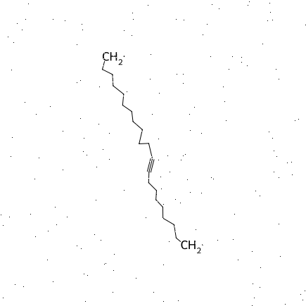 [CH2]CCCCCCCC#CCCCCCCCCCC[CH2]